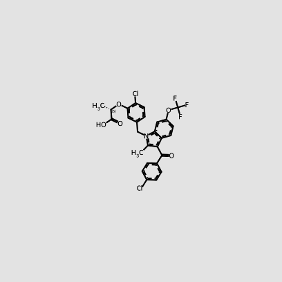 Cc1c(C(=O)c2ccc(Cl)cc2)c2ccc(OC(F)(F)F)cc2n1Cc1ccc(Cl)c(O[C@@H](C)C(=O)O)c1